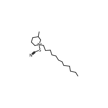 CCCCCCCCCCCC[N+]1(SC#N)CCCC(C)C1